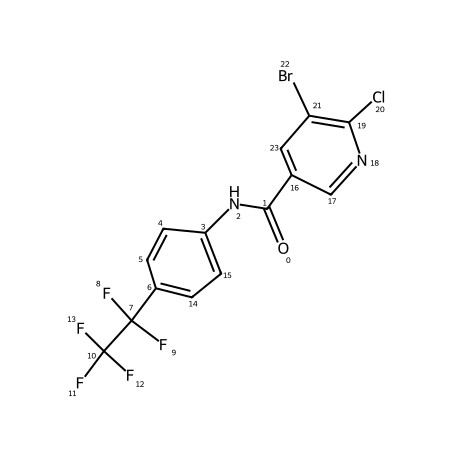 O=C(Nc1ccc(C(F)(F)C(F)(F)F)cc1)c1cnc(Cl)c(Br)c1